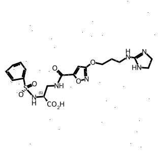 O=C(NC[C@H](NS(=O)(=O)c1ccccc1)C(=O)O)c1cc(OCCCNC2=NCCN2)no1